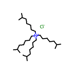 CC(C)CCCCC[N+](CCCCCC(C)C)(CCCCCC(C)C)CCCCCC(C)C.[Cl-]